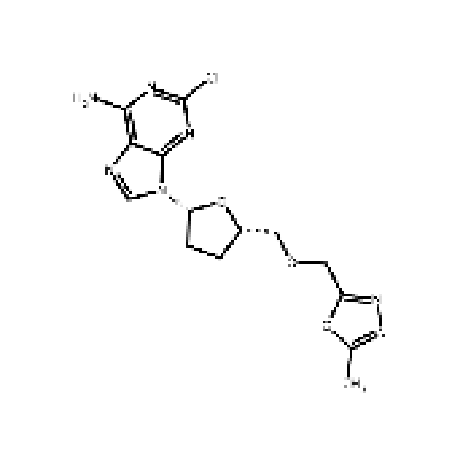 Cc1nnc(COC[C@@H]2CC[C@H](n3cnc4c(N)nc(Cl)nc43)O2)o1